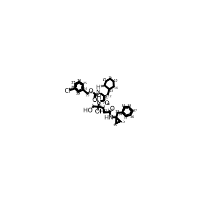 O=C(CCC(O)(CO)NC(=O)[C@H](CC1CCCCC1)NC(=O)OCc1cccc(Cl)c1)NC1(Cc2ccccc2)CC1